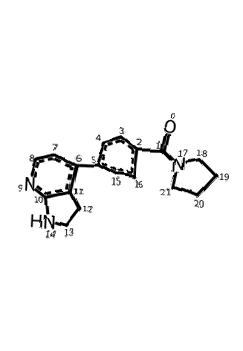 O=C(c1ccc(-c2ccnc3c2CCN3)cc1)N1CCCC1